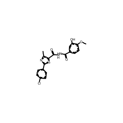 COc1ccc(C(=O)NNC(=O)c2sc(-c3ccc(Cl)cc3)nc2C)cc1O